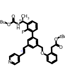 C[C@H](NC(=O)OC(C)(C)C)c1cccc(-c2cc(/C=C/c3ccncc3)cc(COc3ccccc3CC(=O)OC(C)(C)C)c2)c1F